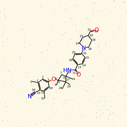 Cc1cc(OC2(C)CC(C)(NC(=O)c3ccc(N4CCC(C=O)CC4)cc3)C2(C)C)cc(C)c1C#N